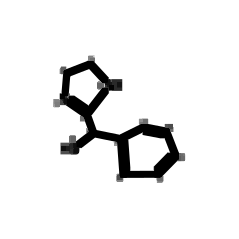 OC(C1=NCCN1)c1ccccc1